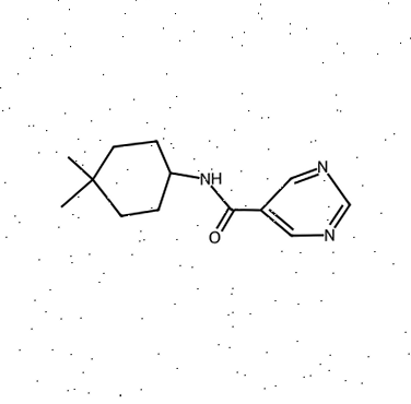 CC1(C)CCC(NC(=O)c2cncnc2)CC1